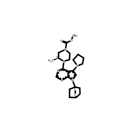 C[C@H]1CN(C(=O)OC(C)(C)C)CCN1c1ncnc2c1c(N1CCCC1)cn2C12CCC(CC1)CC2